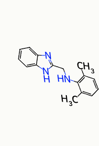 Cc1cccc(C)c1NCc1nc2ccccc2[nH]1